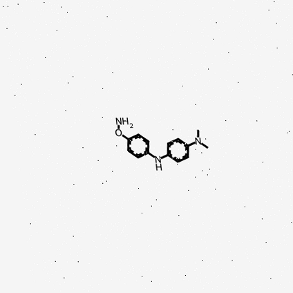 CN(C)c1ccc(Nc2ccc(ON)cc2)cc1